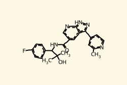 Cc1cc(-c2n[nH]c3ncc(C(=O)NC(c4ccc(F)cc4)C(C)(C)O)cc23)ccn1